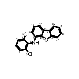 Clc1cccc(Cl)c1Nc1cccc2c1oc1ccccc12